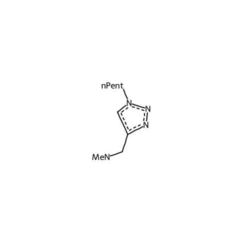 CCCCCn1cc(CNC)nn1